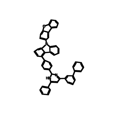 C1=C(c2ccccc2)NC(c2ccc(-c3cccc4c3c3ccccc3n4-c3ccc4oc5ccccc5c4c3)cc2)N=C1c1cccc(-c2ccccc2)c1